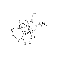 Cc1ccc([C@@]2(N)CCCCc3cccnc32)cc1F